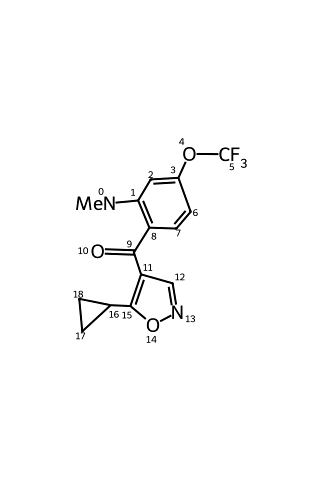 CNc1cc(OC(F)(F)F)ccc1C(=O)c1cnoc1C1CC1